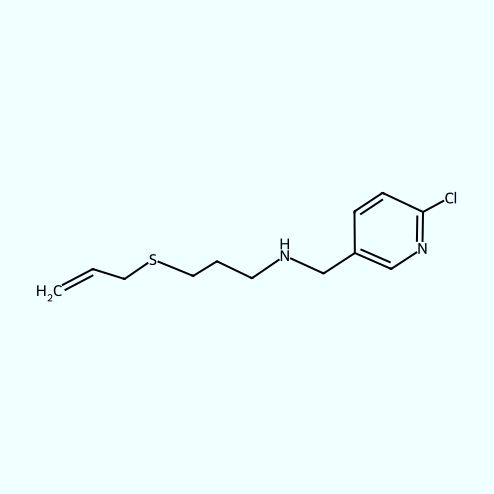 C=CCSCCCNCc1ccc(Cl)nc1